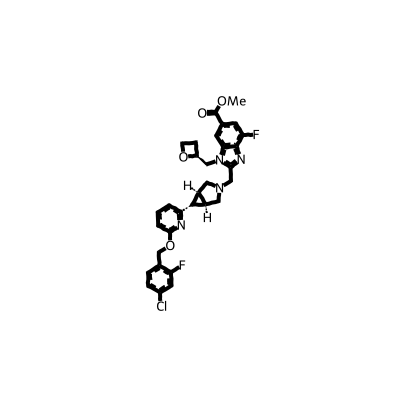 COC(=O)c1cc(F)c2nc(CN3C[C@@H]4[C@H](C3)[C@H]4c3cccc(OCc4ccc(Cl)cc4F)n3)n(C[C@@H]3CCO3)c2c1